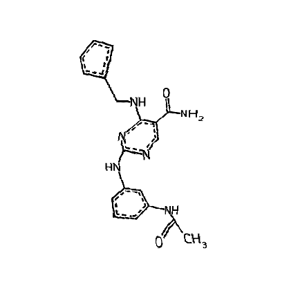 CC(=O)Nc1cccc(Nc2ncc(C(N)=O)c(NCc3ccccc3)n2)c1